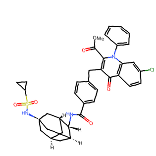 COC(=O)c1c(Cc2ccc(C(=O)N[C@H]3[C@@H]4C[C@H]5C[C@H]3C[C@](NS(=O)(=O)C3CC3)(C5)C4)cc2)c(=O)c2ccc(Cl)cc2n1-c1ccccc1